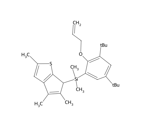 C=CCOc1c(C(C)(C)C)cc(C(C)(C)C)cc1[Si](C)(C)C1C(C)=C(C)c2cc(C)sc21